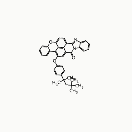 CC(C)(C)CC(C)(C)c1ccc(Oc2cc3c(=O)n4c5ccccc5nc4c4ccc5oc6ccccc6c2c5c34)cc1